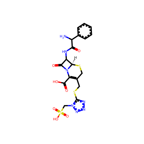 NC(C(=O)NC1C(=O)N2C(C(=O)O)=C(CSc3nnnn3CS(=O)(=O)O)CS[C@H]12)c1ccccc1